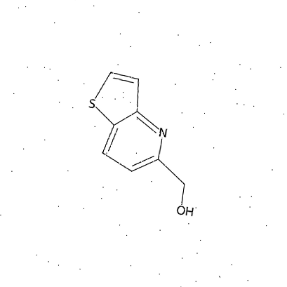 OCc1ccc2sccc2n1